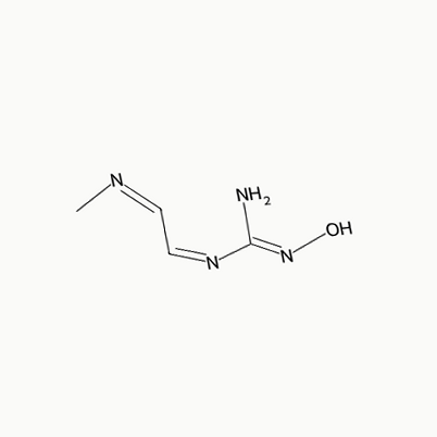 C\N=C/C=N\C(N)=N\O